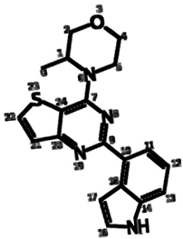 CC1COCCN1c1nc(-c2cccc3[nH]ccc23)nc2ccsc12